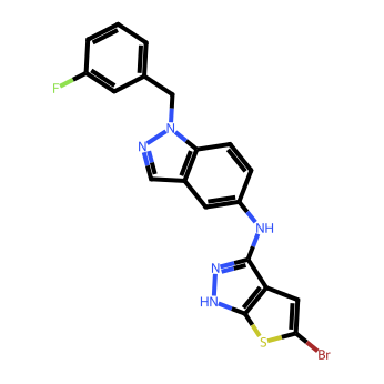 Fc1cccc(Cn2ncc3cc(Nc4n[nH]c5sc(Br)cc45)ccc32)c1